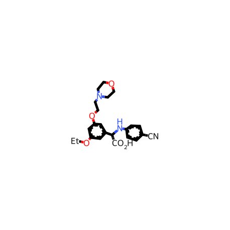 CCOc1cc(OCCN2CCOCC2)cc(C(Nc2ccc(C#N)cc2)C(=O)O)c1